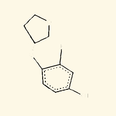 Cc1ccc(O[C@@H]2CCOC2)c(F)c1